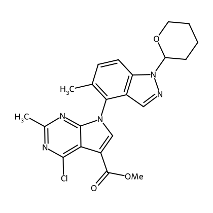 COC(=O)c1cn(-c2c(C)ccc3c2cnn3C2CCCCO2)c2nc(C)nc(Cl)c12